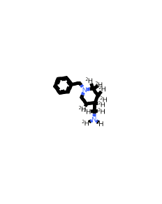 [2H]C1CN(Cc2ccccc2)C([2H])([2H])C([2H])([2H])C1([2H])C([2H])([2H])N([2H])[2H]